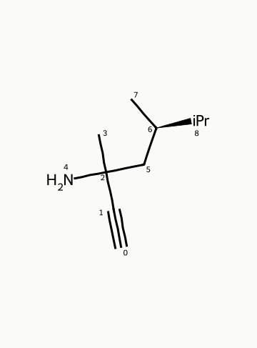 C#CC(C)(N)C[C@@H](C)C(C)C